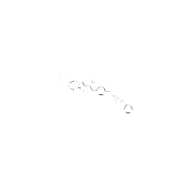 Cc1cn2cc(-c3cc4ccc(CCCNCc5ccccc5)cc4oc3=O)nc2c(C)n1